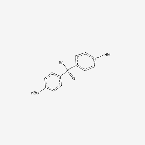 CCCCc1ccc(P(=O)(Br)c2ccc(CCCC)cc2)cc1